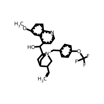 C=CC1C[N+]2(Cc3ccc(OC(F)(F)F)cc3)CCC1CC2C(O)c1ccnc2ccc(OC)cc12